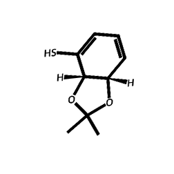 CC1(C)O[C@H]2C=CC=C(S)[C@H]2O1